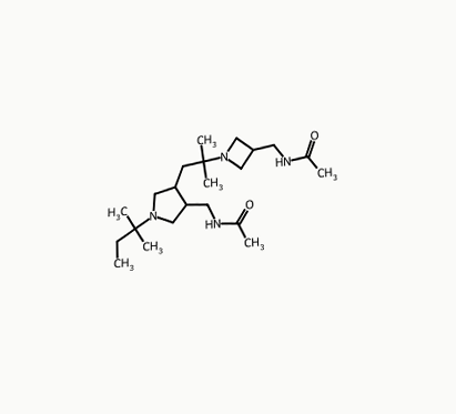 CCC(C)(C)N1CC(CNC(C)=O)C(CC(C)(C)N2CC(CNC(C)=O)C2)C1